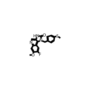 COc1cc2ncc3[nH]c(=O)n(Cc4ccc(SC)cc4)c3c2cc1F